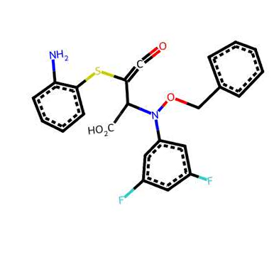 Nc1ccccc1SC(=C=O)C(C(=O)O)N(OCc1ccccc1)c1cc(F)cc(F)c1